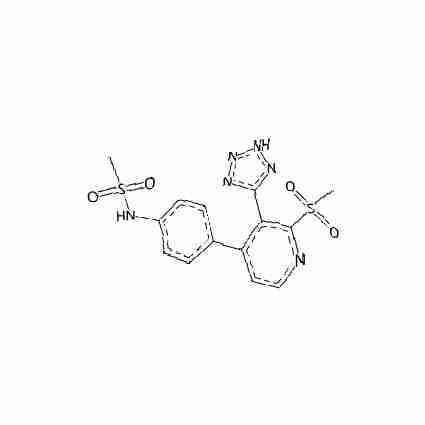 CS(=O)(=O)Nc1ccc(-c2ccnc(S(C)(=O)=O)c2-c2nn[nH]n2)cc1